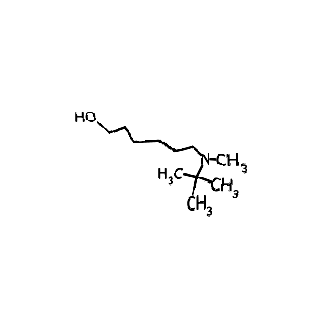 CN(CCCCCCO)C(C)(C)C